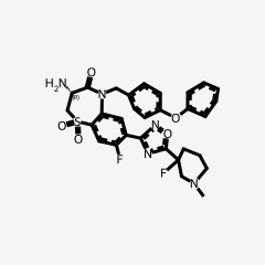 CN1CCCC(F)(c2nc(-c3cc4c(cc3F)S(=O)(=O)C[C@H](N)C(=O)N4Cc3ccc(Oc4ccccc4)cc3)no2)C1